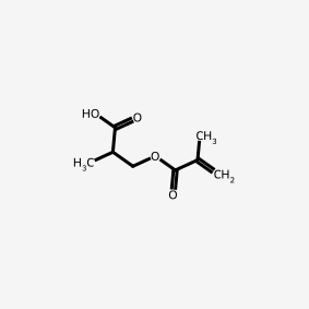 C=C(C)C(=O)OCC(C)C(=O)O